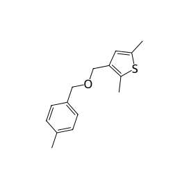 Cc1ccc(COCc2cc(C)sc2C)cc1